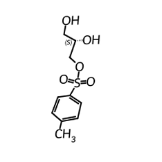 Cc1ccc(S(=O)(=O)OC[C@@H](O)CO)cc1